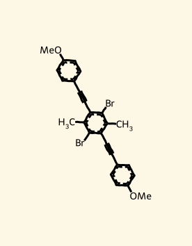 COc1ccc(C#Cc2c(C)c(Br)c(C#Cc3ccc(OC)cc3)c(C)c2Br)cc1